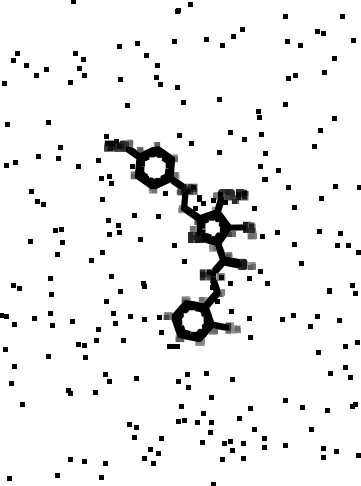 CCOC(=O)c1c(CNc2ccc(OC)cc2)[nH]c(C(=O)NCc2ccccc2F)c1CC